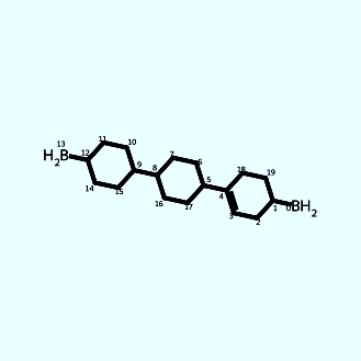 BC1CC=C(C2CCC(C3CCC(B)CC3)CC2)CC1